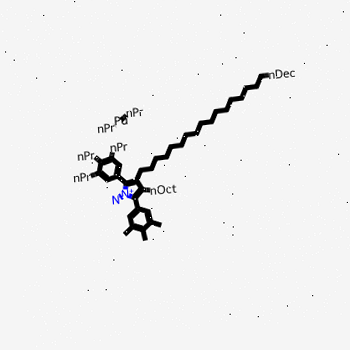 CCCCCCCCCCCCCCCCCCCCCCCCCCCC1=C(c2cc(CCC)c(CCC)c(CCC)c2)[N+](=[N-])C(c2cc(C)c(C)c(C)c2)=C1CCCCCCCC.CC[CH2][Pd][CH2]CC